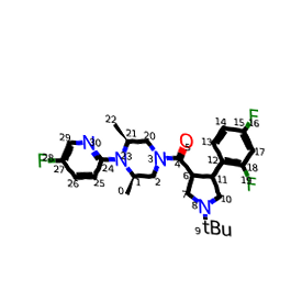 C[C@@H]1CN(C(=O)C2CN(C(C)(C)C)CC2c2ccc(F)cc2F)C[C@H](C)N1c1ccc(F)cn1